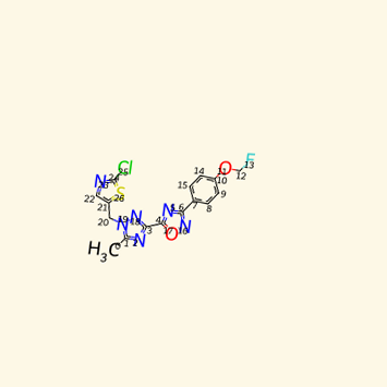 Cc1nc(-c2nc(-c3ccc(OCF)cc3)no2)nn1Cc1cnc(Cl)s1